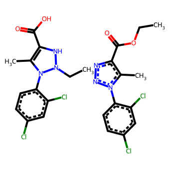 CCN1NC(C(=O)O)=C(C)N1c1ccc(Cl)cc1Cl.CCOC(=O)c1nnn(-c2ccc(Cl)cc2Cl)c1C